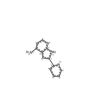 Nc1ccnc2[nH]c(-c3ccccn3)cc12